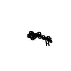 CSCC(=O)NCCOCCOC(=O)c1ccc(S(=O)(=O)N2C(=O)C3CCC(C)(C2=O)C3(C)C)cc1